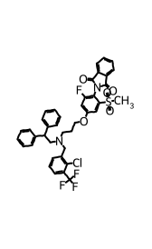 CS(=O)(=O)c1cc(OCCCN(Cc2cccc(C(F)(F)F)c2Cl)CC(c2ccccc2)c2ccccc2)cc(F)c1N1C(=O)c2ccccc2C1=O